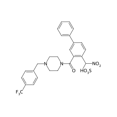 O=C(c1cc(-c2ccccc2)ccc1C([N+](=O)[O-])S(=O)(=O)O)N1CCN(Cc2ccc(C(F)(F)F)cc2)CC1